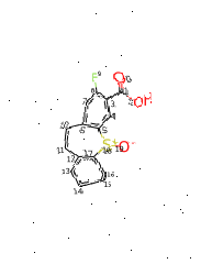 O=C(O)c1cc2c(cc1F)C=Cc1ccccc1[S+]2[O-]